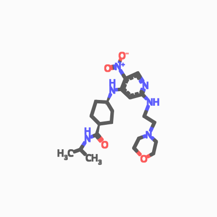 CC(C)NC(=O)[C@H]1CC[C@@H](Nc2cc(NCCN3CCOCC3)ncc2[N+](=O)[O-])CC1